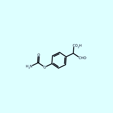 NC(=O)Oc1ccc(C([C]=O)C(=O)O)cc1